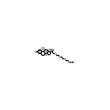 C[C@]12C=CC(=O)C=C1CC[C@@H]1[C@@H]2[C@@H](O)C[C@@]2(C)[C@H]1CC[C@]2(O)C(=O)COCCOCCOCCN=[N+]=[N-]